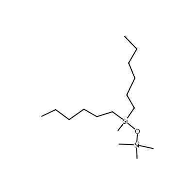 CCCCCC[Si](C)(CCCCCC)O[Si](C)(C)C